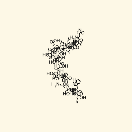 CSCC[C@H](NC(=O)[C@H](Cc1c[nH]c2ccccc12)NC(=O)[C@H](CO)NC(=O)[C@H](CCCCN)NC(=O)CNC(=O)[C@@H]1CCCN1C(=O)[C@H](CO)NC(=O)[C@H](CC(=O)O)NC(=O)[C@H](CO)NC(=O)[C@H](CS)NC(=O)[C@H](CO)NC(=O)[C@@H](NC(=O)[C@H](CCC(=O)O)NC(=O)[C@H](CO)NC(=O)[C@H](CC(C)C)NC(=O)[C@H](CC(C)C)NC(=O)[C@H](CC(C)C)NC(=O)[C@@H](NC(=O)[C@@H](NC(=O)[C@@H](N)CCC(N)=O)C(C)C)C(C)C)[C@@H](C)O)C(=O)O